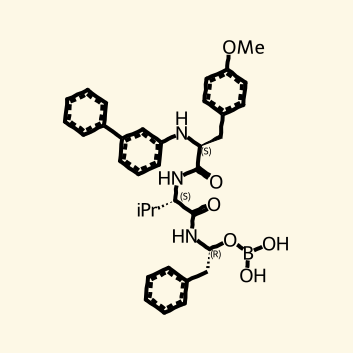 COc1ccc(C[C@H](Nc2cccc(-c3ccccc3)c2)C(=O)N[C@H](C(=O)N[C@@H](Cc2ccccc2)OB(O)O)C(C)C)cc1